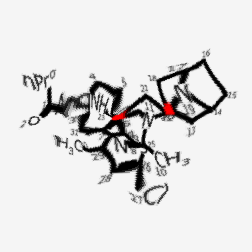 CCCC(=O)N1CCc2c(nc(C)n2C2CC3CCC(C2)N3CC[C@H](NC(C)=O)C2SC(Cl)=CC2C)C1